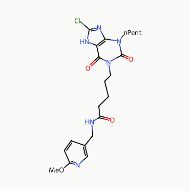 CCCCCn1c(=O)n(CCCCC(=O)NCc2ccc(OC)nc2)c(=O)c2[nH]c(Cl)nc21